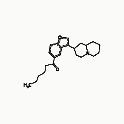 CCCCCC(=O)c1ccc2occ(C3CCN4CCCCC4C3)c2c1